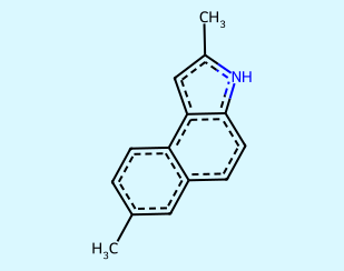 Cc1ccc2c(ccc3[nH]c(C)cc32)c1